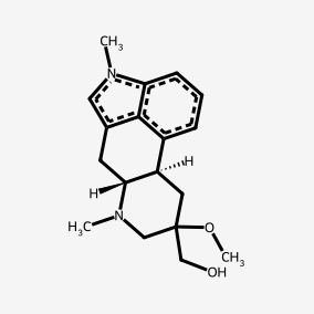 COC1(CO)C[C@@H]2c3cccc4c3c(cn4C)C[C@H]2N(C)C1